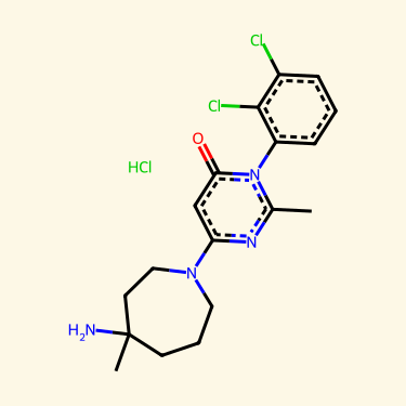 Cc1nc(N2CCCC(C)(N)CC2)cc(=O)n1-c1cccc(Cl)c1Cl.Cl